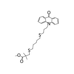 COC(=O)C(C)(C)CSCCCCCSCCCn1c2ccccc2c(=O)c2ccccc21